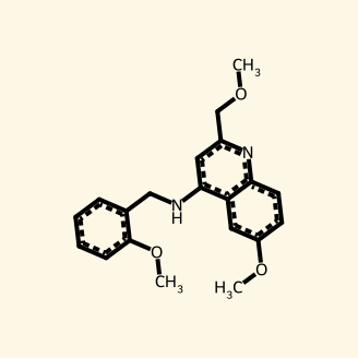 COCc1cc(NCc2ccccc2OC)c2cc(OC)ccc2n1